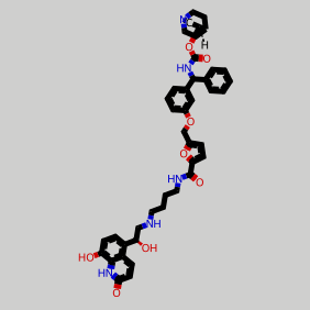 O=C(NC(c1ccccc1)c1cccc(OCc2ccc(C(=O)NCCCCNC[C@@H](O)c3ccc(O)c4[nH]c(=O)ccc34)o2)c1)O[C@H]1CN2CCC1CC2